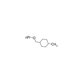 CCCOCC1CCC(C)CC1